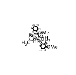 C=CC[C@@H](N(NC(=O)c1cccc(OC)c1C)C(=O)[C@@](OC)(c1ccccc1)C(F)(F)F)C(C)(C)C